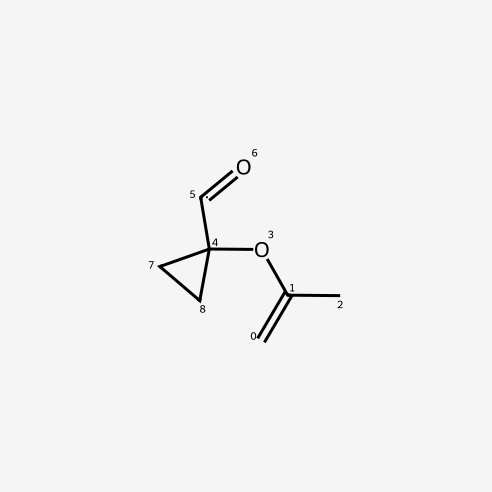 C=C(C)OC1([C]=O)CC1